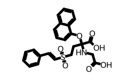 O=C(O)CNC(CCS(=O)(=O)C=Cc1ccccc1)(Oc1cccc2ccccc12)C(=O)O